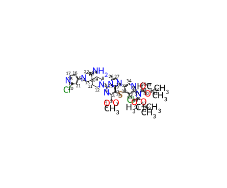 COC(=O)c1nc(N2CCC3(CC2)CN(c2ccnc(Cl)c2)C[C@H]3N)n2ccnc2c1Sc1ccnc(N(C(=O)OC(C)(C)C)C(=O)OC(C)(C)C)c1Cl